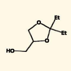 CCC1(CC)OCC(CO)O1